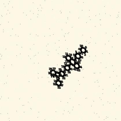 c1ccc(-c2ccc(-c3c4ccccc4c(-c4ccc(-c5ccc6c(c5)c5cccnc5n6-c5ccccc5)cc4)c4ccccc34)cc2)cc1